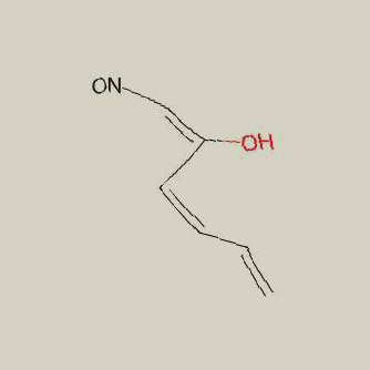 C=C/C=C\C(O)=C/N=O